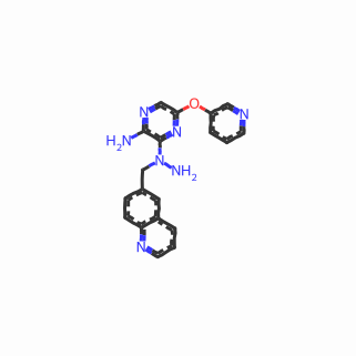 Nc1ncc(Oc2cccnc2)nc1N(N)Cc1ccc2ncccc2c1